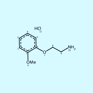 COc1ccccc1OCCN.Cl